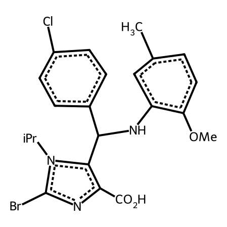 COc1ccc(C)cc1NC(c1ccc(Cl)cc1)c1c(C(=O)O)nc(Br)n1C(C)C